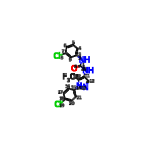 O=C(Nc1cccc(Cl)c1)Nc1cnn(-c2ccc(Cl)cc2)c1C(F)(F)F